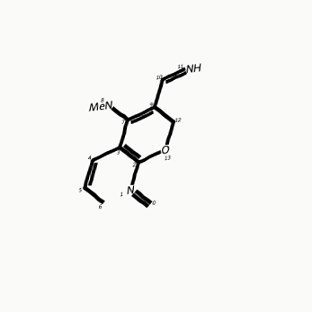 C=NC1=C(/C=C\C)C(NC)=C(C=N)CO1